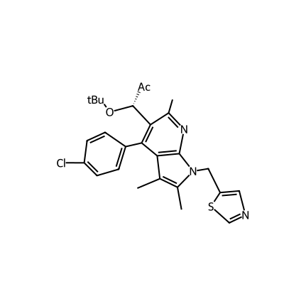 CC(=O)[C@@H](OC(C)(C)C)c1c(C)nc2c(c(C)c(C)n2Cc2cncs2)c1-c1ccc(Cl)cc1